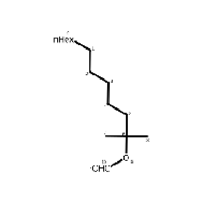 CCCCCCCCCCCC(C)(C)O[C]=O